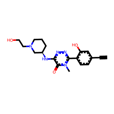 C#Cc1ccc(-c2nnc(N[C@@H]3CCCN(CCO)C3)c(=O)n2C)c(O)c1